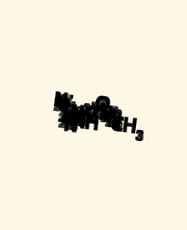 CN1CCN(C(=O)c2ccc(-c3nc4c(-c5ccncc5)ccnc4[nH]3)cc2)CC1